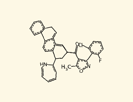 Cc1onc(-c2c(F)cccc2Cl)c1C(=O)C1C=c2c(ccc3c2=CCc2ccccc2-3)C(C2=CC=CC=CN2)C1